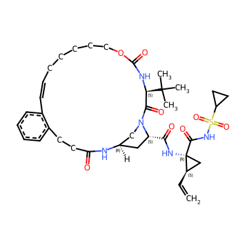 C=C[C@@H]1C[C@]1(NC(=O)[C@@H]1C[C@@H]2CN1C(=O)[C@H](C(C)(C)C)NC(=O)OCCCCCC=Cc1ccccc1CCC(=O)N2)C(=O)NS(=O)(=O)C1CC1